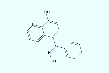 ON=C(c1ccccc1)c1ccc(O)c2ncccc12